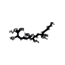 C=C(O)C(C)C/C=C/C(C)(O)OC(C)CCCC(C)(O)CCCCC